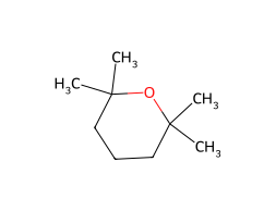 CC1(C)CCCC(C)(C)O1